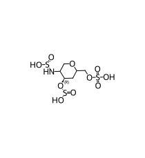 O=S(O)NC1COC(COS(=O)(=O)O)C[C@H]1OS(=O)O